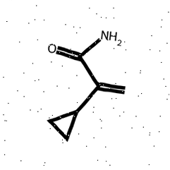 C=C(C(N)=O)C1CC1